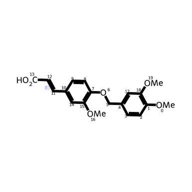 COc1ccc(COc2ccc(/C=C/C(=O)O)cc2OC)cc1OC